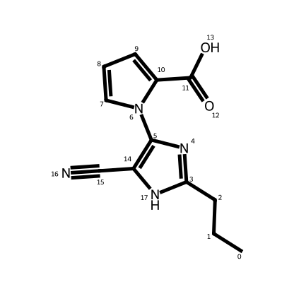 CCCc1nc(-n2cccc2C(=O)O)c(C#N)[nH]1